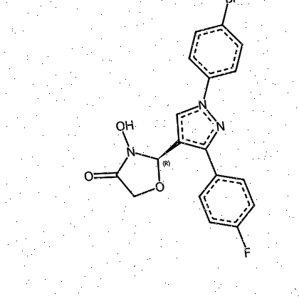 O=C1CO[C@H](c2cn(-c3ccc(Br)cc3)nc2-c2ccc(F)cc2)N1O